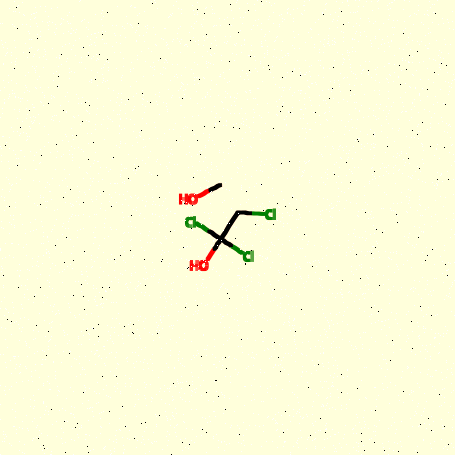 CO.OC(Cl)(Cl)CCl